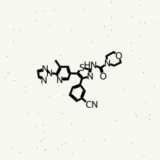 Cc1cc(-c2sc(NC(=O)N3CCOCC3)nc2-c2cccc(C#N)c2)cnc1-n1nccn1